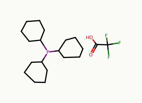 C1CCC(P(C2CCCCC2)C2CCCCC2)CC1.O=C(O)C(F)(F)F